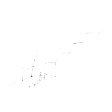 CC1(C)[C@H]2CC[C@@H](CCOCCCCO)[C@H]1C2